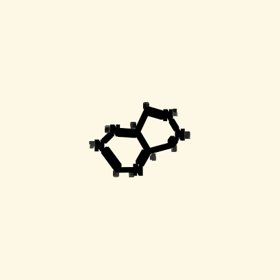 [c]1nncc2ncnnc12